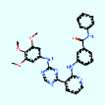 COc1cc(Nc2ncnc(-c3cccnc3Nc3cccc(C(=O)Nc4ccccc4)c3)n2)cc(OC)c1OC